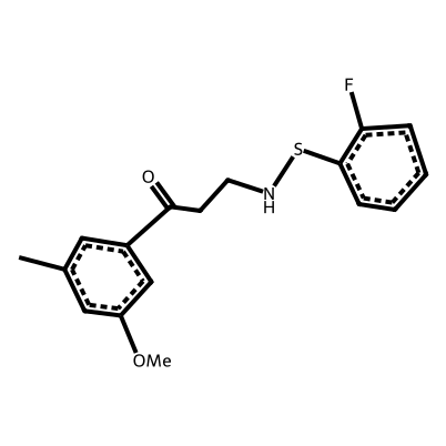 COc1cc(C)cc(C(=O)CCNSc2ccccc2F)c1